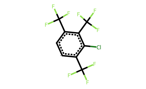 FC(F)(F)c1[c]cc(C(F)(F)F)c(C(F)(F)F)c1Cl